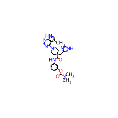 Cc1c[nH]c2ncnc(N3CCC(Cc4c[nH]cn4)(C(=O)Nc4cccc(OC(=O)N(C)C)c4)CC3)c12